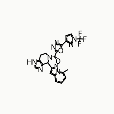 Cc1cccc2cc(C3c4nc[nH]c4CCN3C(=O)c3nnc(-c4ccn(C(F)(F)F)n4)o3)nn12